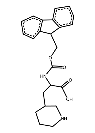 O=C(NC(CC1CCCNC1)C(=O)O)OCC1c2ccccc2-c2ccccc21